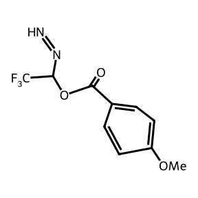 COc1ccc(C(=O)OC(N=N)C(F)(F)F)cc1